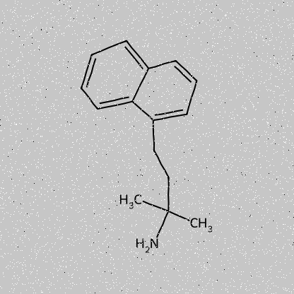 CC(C)(N)CCc1cccc2ccccc12